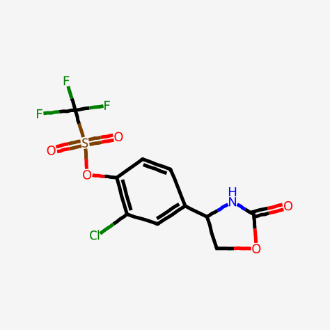 O=C1NC(c2ccc(OS(=O)(=O)C(F)(F)F)c(Cl)c2)CO1